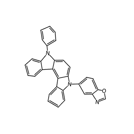 c1ccc(-n2c3ccccc3c3c4c5ccccc5n(-c5ccc6ocnc6c5)c4ccc32)cc1